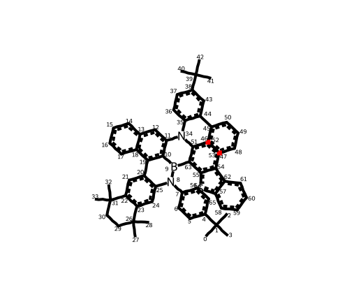 CC(C)(C)c1ccc(N2B3c4c(cc5ccccc5c4-c4cc5c(cc42)C(C)(C)CCC5(C)C)N(c2ccc(C(C)(C)C)cc2-c2ccccc2)c2ccc4c(sc5ccccc54)c23)cc1